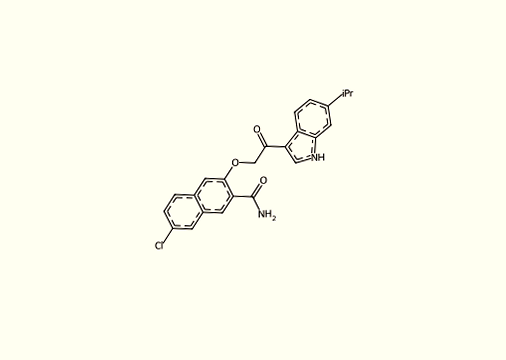 CC(C)c1ccc2c(C(=O)COc3cc4ccc(Cl)cc4cc3C(N)=O)c[nH]c2c1